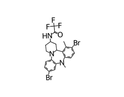 Cc1c(Br)ccc2c1C1CC(NC(=O)C(F)(F)F)CCN1c1ccc(Br)cc1N2C